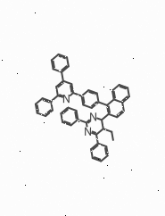 CCC1C(c2ccccc2)=NC(c2ccccc2)=NC1c1ccc2ccccc2c1-c1ccc(-c2cc(-c3ccccc3)cc(-c3ccccc3)n2)cc1